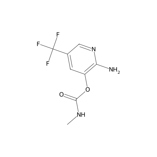 CNC(=O)Oc1cc(C(F)(F)F)cnc1N